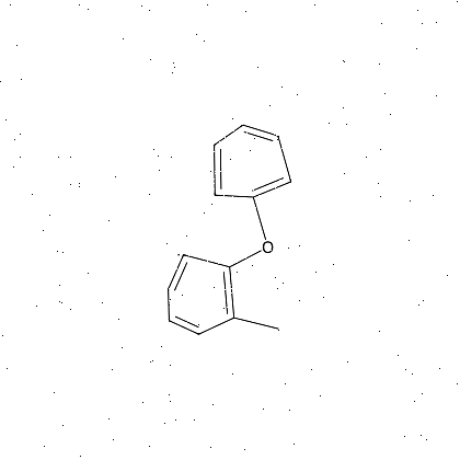 Cc1ccc[c]c1Oc1ccccc1